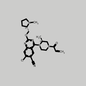 C=CC(=O)N1CCN(c2nc(OC[C@@H]3CCCN3C)nc3cc(Cl)c(C#N)cc23)[C@@H](C)C1